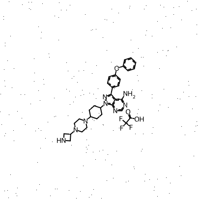 Nc1ncnc2c1c(-c1ccc(Oc3ccccc3)cc1)nn2C1CCC(N2CCN(C3CNC3)CC2)CC1.O=C(O)C(F)(F)F